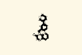 O=c1cnc2cccnc2n1Cc1cccc(-c2cccnc2)c1